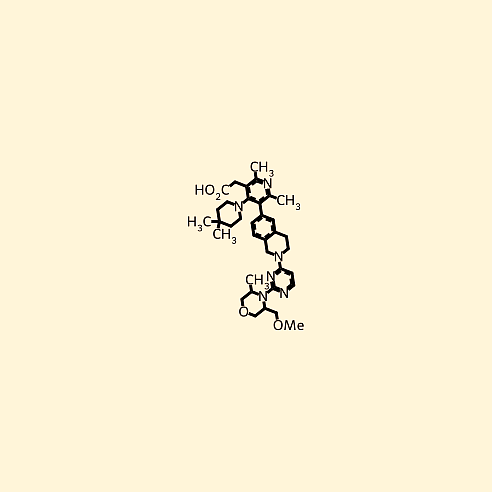 COCC1COCC(C)N1c1nccc(N2CCc3cc(-c4c(C)nc(C)c(CC(=O)O)c4N4CCC(C)(C)CC4)ccc3C2)n1